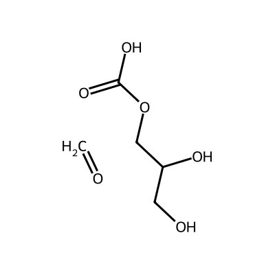 C=O.O=C(O)OCC(O)CO